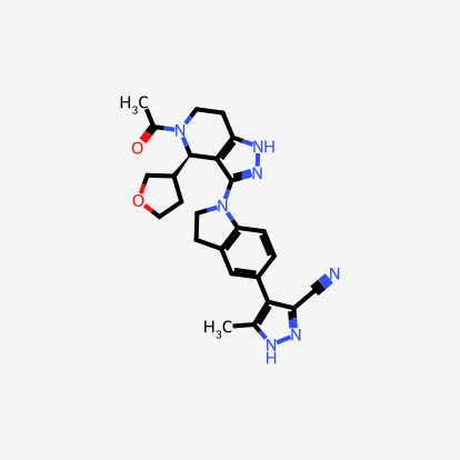 CC(=O)N1CCc2[nH]nc(N3CCc4cc(-c5c(C#N)n[nH]c5C)ccc43)c2[C@H]1C1CCOC1